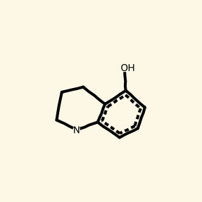 Oc1cccc2c1CCC[N]2